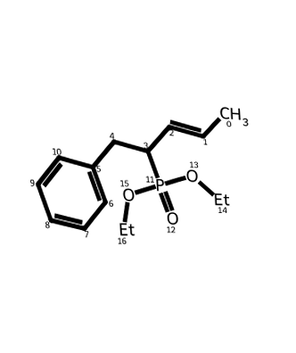 CC=CC(Cc1ccccc1)P(=O)(OCC)OCC